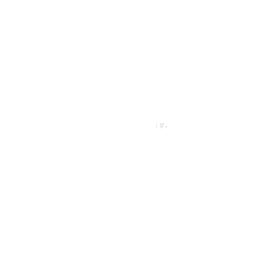 CCC(=O)NC(C)CC/C=C/S(=O)(=O)C(C)C